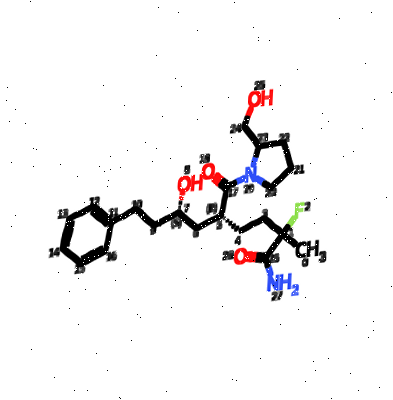 CC(F)(CC[C@H](C[C@@H](O)[CH]Cc1ccccc1)C(=O)N1CCCC1CO)C(N)=O